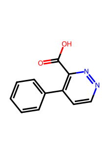 O=C(O)c1nnccc1-c1ccccc1